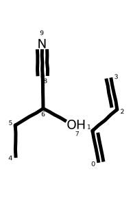 C=CC=C.CCC(O)C#N